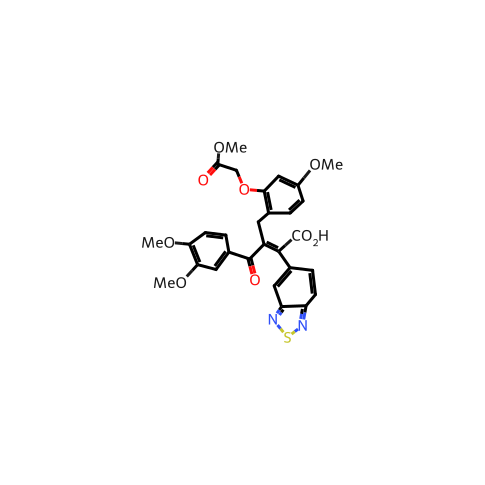 COC(=O)COc1cc(OC)ccc1CC(C(=O)c1ccc(OC)c(OC)c1)=C(C(=O)O)c1ccc2nsnc2c1